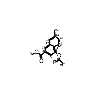 COC(=O)c1cc(OC(F)F)c2ncc(C)cc2c1